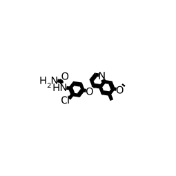 COc1cc2nccc(Oc3ccc(NC(N)=O)c(Cl)c3)c2cc1C